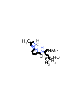 C=C(N/C(=C/NC)CCC(C)(C)C=O)c1cccc(N2C=C(C)CN2C)n1